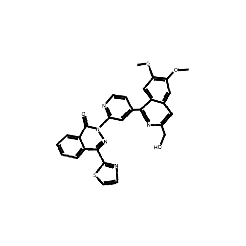 COc1cc2cc(CO)nc(-c3ccnc(-n4nc(-c5nccs5)c5ccccc5c4=O)c3)c2cc1OC